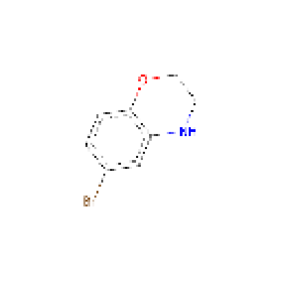 Brc1ccc2c(c1)NCCO2